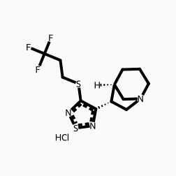 Cl.FC(F)(F)CCSc1nsnc1[C@H]1CN2CCC[C@H]1C2